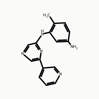 Cc1ccc(N)cc1Nc1cncc(-c2cccnc2)n1